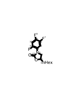 CCCCCCC1CN(c2cc(F)c(F)cc2F)C(=O)O1